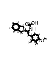 COc1ccc(CC(NC(=O)O)N2Cc3ccccc3C2)c(F)c1F